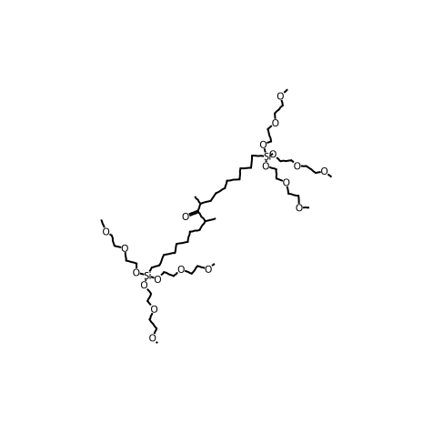 COCCOCCO[Si](CCCCCCCCC(C)C(=O)C(C)CCCCCCCC[Si](OCCOCCOC)(OCCOCCOC)OCCOCCOC)(OCCOCCOC)OCCOCCOC